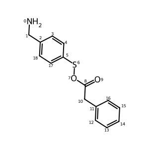 NCc1ccc(SOC(=O)Cc2ccccc2)cc1